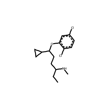 CCC(CCC(Oc1cc(Cl)ccc1Cl)C1CC1)NC